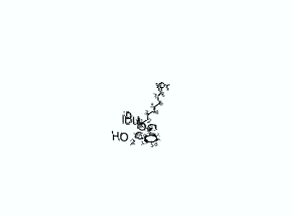 CCC(C)C(CCCCCCCC(C)C)OC(=O)c1ccccc1C(=O)O